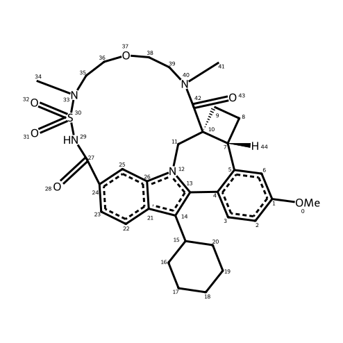 COc1ccc2c(c1)[C@H]1CC[C@@]13Cn1c-2c(C2CCCCC2)c2ccc(cc21)C(=O)NS(=O)(=O)N(C)CCOCCN(C)C3=O